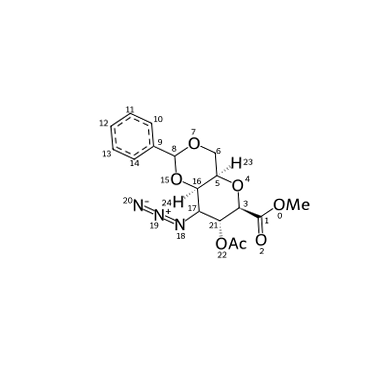 COC(=O)[C@@H]1O[C@@H]2COC(c3ccccc3)O[C@@H]2C(N=[N+]=[N-])[C@H]1OC(C)=O